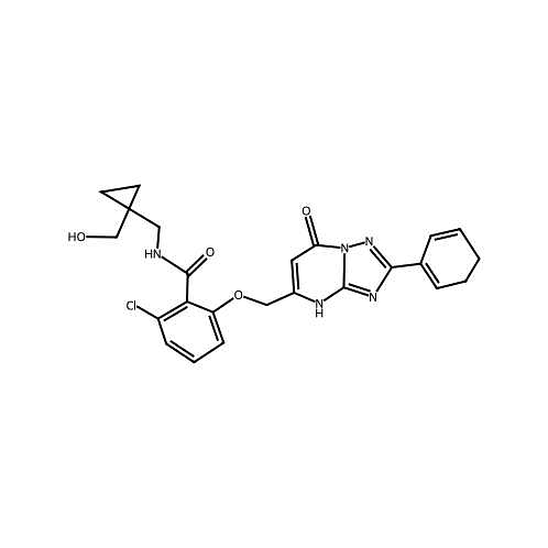 O=C(NCC1(CO)CC1)c1c(Cl)cccc1OCc1cc(=O)n2nc(C3=CCCC=C3)nc2[nH]1